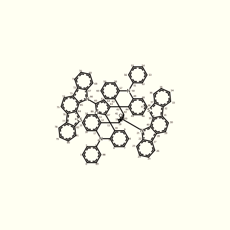 c1ccc(N2c3ccccc3C3(c4ccccc42)c2cc(-n4c5ccccc5c5ccc6c7ccccc7sc6c54)oc2C2(c4ccccc4N(c4ccccc4)c4ccccc42)c2cc(-n4c5ccccc5c5ccc6c7ccccc7sc6c54)oc23)cc1